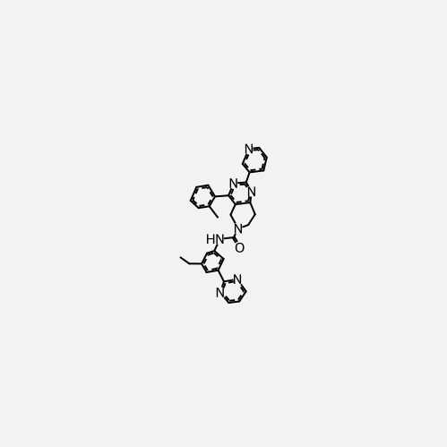 CCc1cc(NC(=O)N2CCc3nc(-c4cccnc4)nc(-c4ccccc4C)c3C2)cc(-c2ncccn2)c1